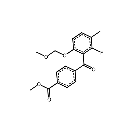 COCOc1ccc(C)c(F)c1C(=O)c1ccc(C(=O)OC)cc1